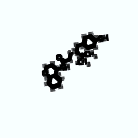 CN(C)[C@H](CCC(=O)NC1CCOc2ccccc21)Cc1ccc(O)cc1